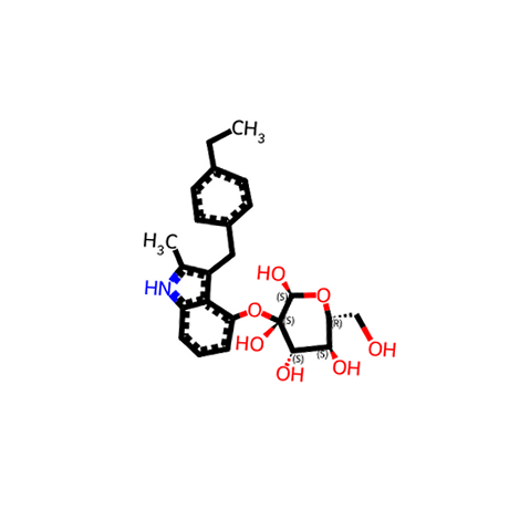 CCc1ccc(Cc2c(C)[nH]c3cccc(O[C@]4(O)[C@@H](O)O[C@H](CO)[C@@H](O)[C@@H]4O)c23)cc1